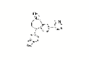 CN1CCC(c2ccc3sccc3c2)c2ccc(-c3cccnn3)cc2C1